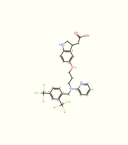 O=C(O)CC1CNc2ccc(OCCCN(Cc3ccc(C(F)(F)F)cc3C(F)(F)F)c3ccccn3)cc21